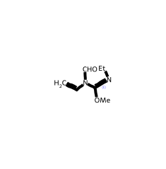 C=CN(C=O)/C(=N\CC)OC